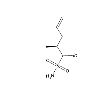 C=CC[C@H](C)C(CC)S(N)(=O)=O